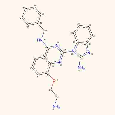 NCCOc1cccc2c(NCc3ccccc3)nc(-n3c(N)nc4ccccc43)nc12